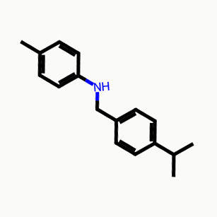 Cc1ccc(NCc2ccc(C(C)C)cc2)cc1